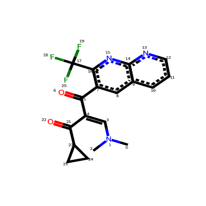 CN(C)C=C(C(=O)c1cc2cccnc2nc1C(F)(F)F)C(=O)C1CC1